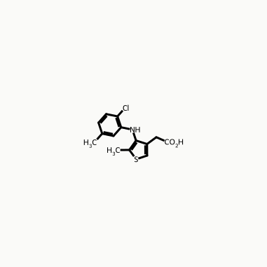 Cc1ccc(Cl)c(Nc2c(CC(=O)O)csc2C)c1